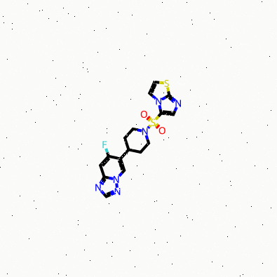 O=S(=O)(c1cnc2sccn12)N1CCC(c2cn3ncnc3cc2F)CC1